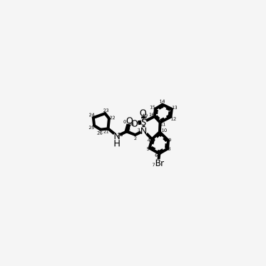 O=C(CN1c2cc(Br)ccc2-c2ccccc2S1(=O)=O)NC1CCCCC1